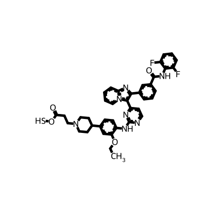 CCOc1cc(C2CCN(CCC(=O)OS)CC2)ccc1Nc1nccc(-c2c(-c3cccc(C(=O)Nc4c(F)cccc4F)c3)nc3ccccn23)n1